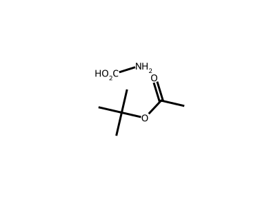 CC(=O)OC(C)(C)C.NC(=O)O